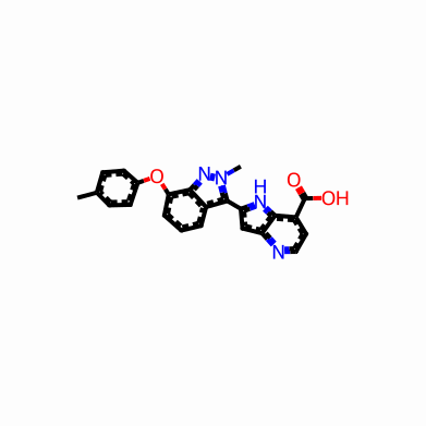 Cc1ccc(Oc2cccc3c(-c4cc5nccc(C(=O)O)c5[nH]4)n(C)nc23)cc1